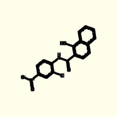 O=C(Nc1ccc([N+](=O)[O-])cc1Cl)c1ccc2ccccc2c1O